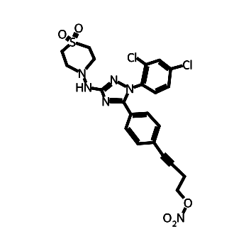 O=[N+]([O-])OCCC#Cc1ccc(-c2nc(NN3CCS(=O)(=O)CC3)nn2-c2ccc(Cl)cc2Cl)cc1